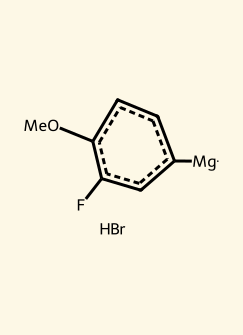 Br.COc1cc[c]([Mg])cc1F